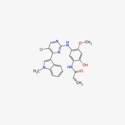 C=CC(=O)Nc1cc(Nc2ncc(Cl)c(-c3cn(C)c4ccccc34)n2)c(OC)cc1O